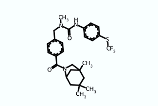 CN(Cc1ccc(C(=O)N2CC3(C)CC2CC(C)(C)C3)cc1)C(=O)Nc1ccc(SC(F)(F)F)cc1